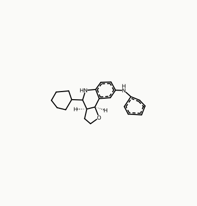 c1ccc(Nc2ccc3c(c2)[C@H]2OCC[C@H]2C(C2CCCCC2)N3)cc1